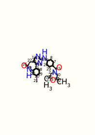 C[C@@H]1CN(C(=O)c2ccc(Nc3ncc4c(n3)-c3ccc(I)cc3NC(=O)C4)cc2)C[C@H](C)O1